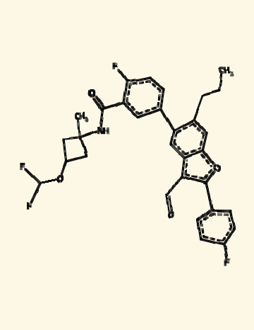 CCCc1cc2oc(-c3ccc(F)cc3)c(C=O)c2cc1-c1ccc(F)c(C(=O)NC2(C)CC(OC(F)F)C2)c1